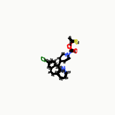 CC(=S)OC(=O)N1CCC(=C2c3ccc(Cl)cc3CCc3cccnc32)CC1